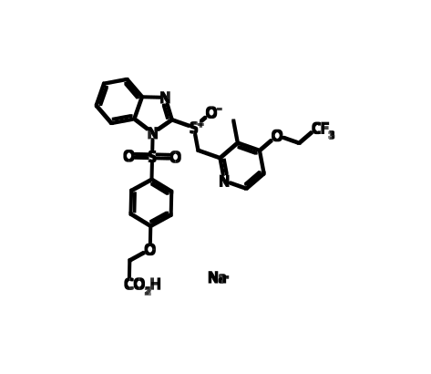 Cc1c(OCC(F)(F)F)ccnc1C[S+]([O-])c1nc2ccccc2n1S(=O)(=O)c1ccc(OCC(=O)O)cc1.[Na]